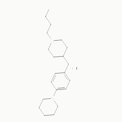 CC(C)CCCN1CCC(Cc2ccc(N3CCCCC3)cc2)CC1.Cl.Cl